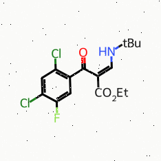 CCOC(=O)/C(=C/NC(C)(C)C)C(=O)c1cc(F)c(Cl)cc1Cl